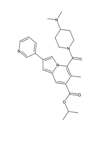 C=C(c1c(C)c(C(=O)OC(C)C)cc2cc(-c3cccnc3)cn12)N1CCC(N(C)C)CC1